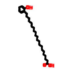 O=C(O)CCCCCCCCCCCCCCCCCCCCCc1ccccc1O